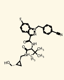 CC(C)(C)[C@H](NC(=O)c1nn(Cc2ccc(C#N)cc2)c2cc(F)ccc12)C(=O)NC[C@H]1C[C@@H]1CO